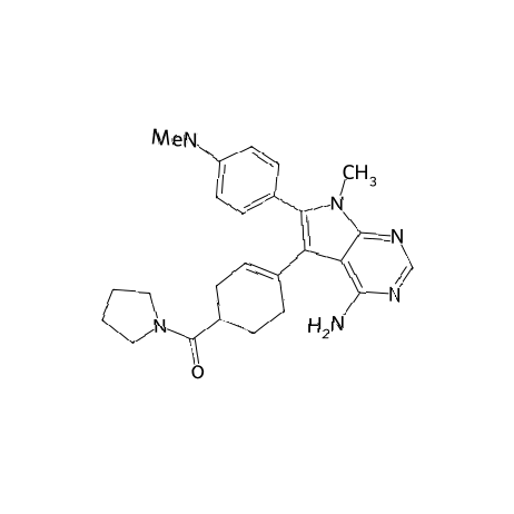 CNc1ccc(-c2c(C3=CCC(C(=O)N4CCCC4)CC3)c3c(N)ncnc3n2C)cc1